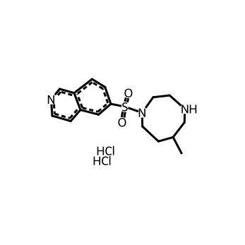 CC1CCN(S(=O)(=O)c2ccc3cnccc3c2)CCNC1.Cl.Cl